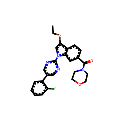 CCSc1cn(-c2ncc(-c3ccccc3F)cn2)c2cc(C(=O)N3CCOCC3)ccc12